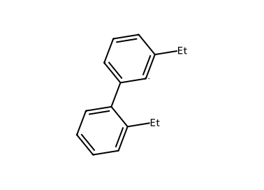 CCc1[c]c(-c2ccccc2CC)ccc1